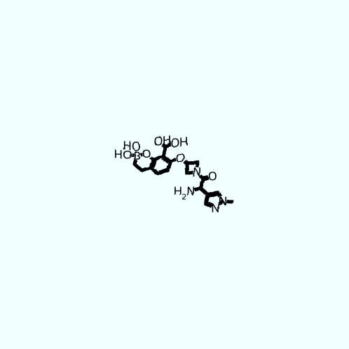 Cn1cc(C(N)C(=O)N2CC(Oc3ccc4c(c3C(O)O)O[B-](O)(O)CC4)C2)cn1